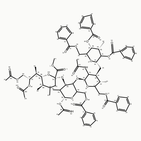 COC(=O)[C@@]1(O[C@H]2C(O[C@@H]3OC(COC(=O)c4ccccc4)[C@@H](C)[C@H](C[C@@H]4OC(COC(=O)c5ccccc5)[C@H](OC(=O)c5ccccc5)[C@H](C)C4OC(=O)c4ccccc4)C3NC(C)=O)C(COC(=O)c3ccccc3)O[C@H](OC(C)=N)C2C)CC(C)[C@@H](C)[C@H]([C@H](C)[C@@H](COC(C)=O)OC(C)=O)O1